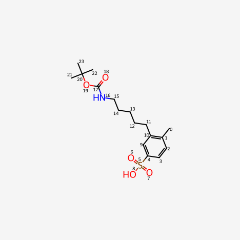 Cc1ccc(S(=O)(=O)O)cc1CCCCCNC(=O)OC(C)(C)C